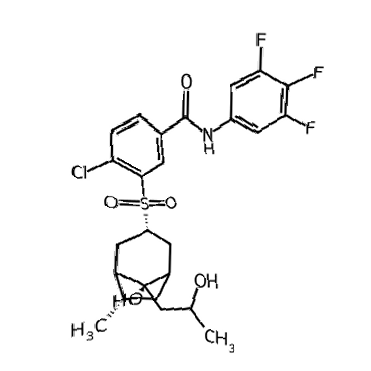 CC(O)C[C@@]1(O)C2C[C@@H](S(=O)(=O)c3cc(C(=O)Nc4cc(F)c(F)c(F)c4)ccc3Cl)CC1[C@@H](C)C2